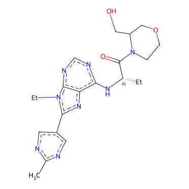 CC[C@H](Nc1ncnc2c1nc(-c1cnc(C)nc1)n2CC)C(=O)N1CCOCC1CO